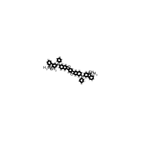 C[Si]1(C)c2ccccc2-c2cc(N(c3ccccc3)c3ccc4cc5c(cc4c3)oc3cc4c(cc35)oc3cc5cc(N(c6ccccc6)c6ccc7c(c6)-c6ccccc6[Si]7(C)C)ccc5cc34)ccc21